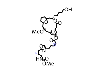 COC(=O)NC/C=C\c1nc(CC/C=C\C(=O)O[C@H]2CC3CC(=O)O[C@@H](CCCCCO)CC4CCCC(C[C@@H](OC)CC(C2)O3)O4)co1